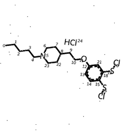 CCCCCN1CCC(CCOc2ccc(SCl)c(SCl)c2)CC1.Cl